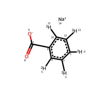 [2H]c1c([2H])c([2H])c(C(=O)[O-])c([2H])c1[2H].[Na+]